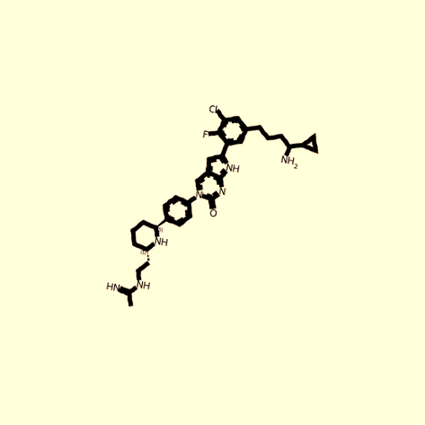 CC(=N)NCC[C@@H]1CCC[C@@H](c2ccc(-n3cc4cc(-c5cc(CCCC(N)C6CC6)cc(Cl)c5F)[nH]c4nc3=O)cc2)N1